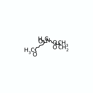 C=C(C)C(=O)OCCN(C)CC(C=O)CCCCC(C)C=O